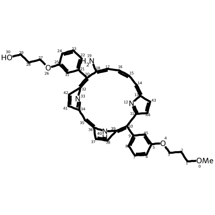 COCCCOc1cccc(-c2c3nc(ccccc(N)c(-c4cccc(OCCCO)c4)c4nc(cc5ccc2[nH]5)C=C4)C=C3)c1